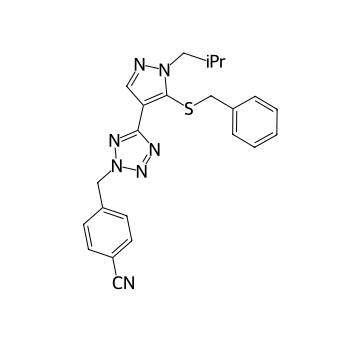 CC(C)Cn1ncc(-c2nnn(Cc3ccc(C#N)cc3)n2)c1SCc1ccccc1